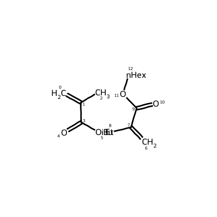 C=C(C)C(=O)OCC(C)C.C=C(CC)C(=O)OCCCCCC